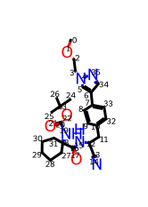 COCCn1cc(-c2ccc(CC(C#N)NC(=O)C3(NC(=O)OC(C)(C)C)CCCCC3)cc2)cn1